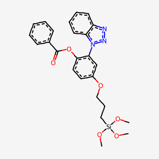 CO[Si](CCCOc1ccc(OC(=O)c2ccccc2)c(-n2nnc3ccccc32)c1)(OC)OC